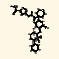 CNC(=O)c1nc(CNC(=O)C2(c3ccc(CN4[C@@H](C)CC[C@H](c5ccccc5)S4(=O)=O)c(F)c3)CCOCC2)no1